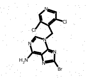 Nc1ncn(Cc2c(Cl)cncc2Cl)c2nc(Br)nc1-2